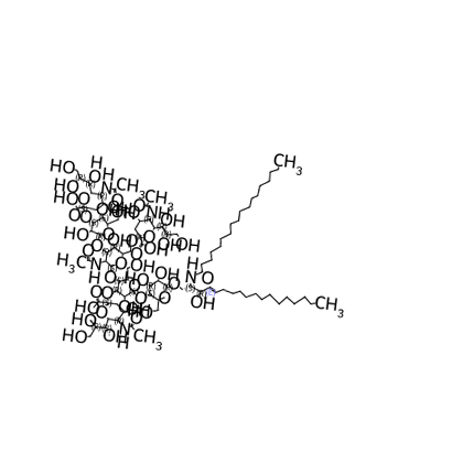 CCCCCCCCCCCCC/C=C/[C@@H](O)[C@H](CO[C@@H]1OC(CO)[C@@H](O[C@@H]2OC(CO)[C@H](O[C@@H]3OC(CO[C@]4(C(=O)O)CC(O)[C@@H](NC(C)=O)C([C@H](O)[C@H](O)CO)O4)[C@H](O)[C@H](O[C@@H]4OC(CO)[C@H](O)[C@H](O[C@]5(C(=O)O)CC(O)[C@@H](NC(C)=O)C([C@H](O)[C@H](O)CO)O5)C4O)C3NC(C)=O)[C@H](O[C@]3(C(=O)O)CC(O)[C@@H](NC(C)=O)C([C@H](O)[C@H](O)CO)O3)C2O)[C@H](O)C1O)NC(=O)CCCCCCCCCCCCCCCCC